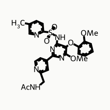 COc1ccccc1Oc1c(NS(=O)(=O)c2ccc(C)cn2)nc(-c2ccnc(CNC(C)=O)c2)nc1OC